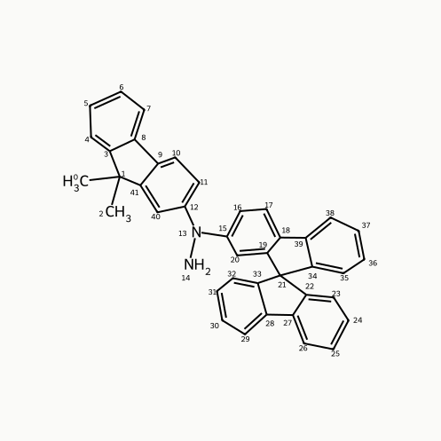 CC1(C)c2ccccc2-c2ccc(N(N)c3ccc4c(c3)C3(c5ccccc5-c5ccccc53)c3ccccc3-4)cc21